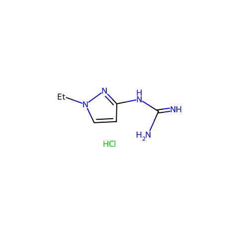 CCn1ccc(NC(=N)N)n1.Cl